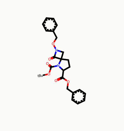 CC(C)(C)OC(=O)N1C(C(=O)OCc2ccccc2)CCC12CN(OCc1ccccc1)C2=O